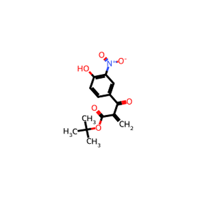 C=C(C(=O)OC(C)(C)C)C(=O)c1ccc(O)c([N+](=O)[O-])c1